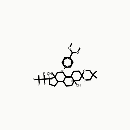 COC(OC)c1ccc([C@H]2CC3(C)C(CC[C@@]3(O)C(F)(F)C(F)(F)F)C3CC[C@@]4(O)CC5(CCC4=C32)OCC(C)(C)CO5)cc1